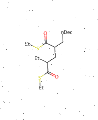 [CH2]CC(CC(CCCCCCCCCCC)C(=O)SCC)C(=O)SCC